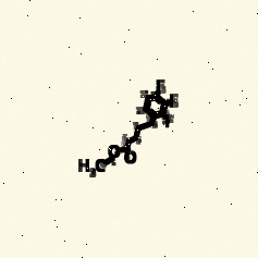 CCOC(=O)CCCCc1ccc(F)c(F)c1F